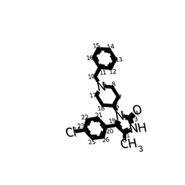 Cc1[nH]c(=O)n(C2CCN(Cc3ccccc3)CC2)c1-c1ccc(Cl)cc1